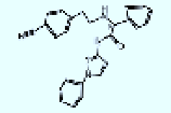 N#Cc1ccc(CCN[C@H](C(=O)Nc2ccn(-c3ccccc3)n2)c2ccccc2)cc1